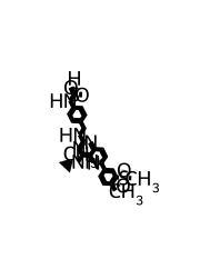 Cc1ccc(-c2ccc3nc(NCc4ccc(N[SH](=O)=O)cc4)nc(NC4(C)CC4)c3n2)cc1S(C)(=O)=O